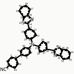 N#Cc1ccc(-c2ccc(N(c3ccc(-c4nc5ccccc5s4)cc3)c3ccc(-c4nc5ccccc5s4)cc3)cc2)cc1